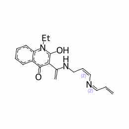 C=C/C=N\C=C/CNC(=C)c1c(O)n(CC)c2ccccc2c1=O